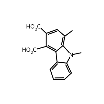 Cc1cc(C(=O)O)c(C(=O)O)c2c3ccccc3n(C)c12